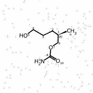 C[C@H](CCCO)COC(N)=O